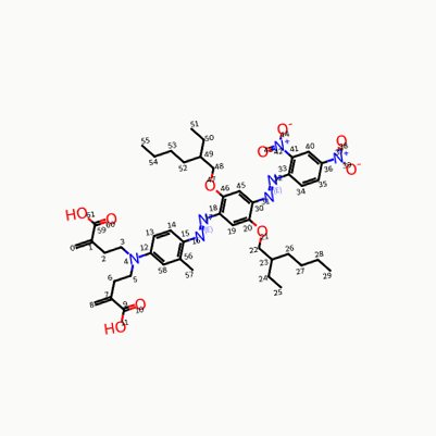 C=C(CCN(CCC(=C)C(=O)O)c1ccc(/N=N/c2cc(OCC(CC)CCCC)c(/N=N/c3ccc([N+](=O)[O-])cc3[N+](=O)[O-])cc2OCC(CC)CCCC)c(C)c1)C(=O)O